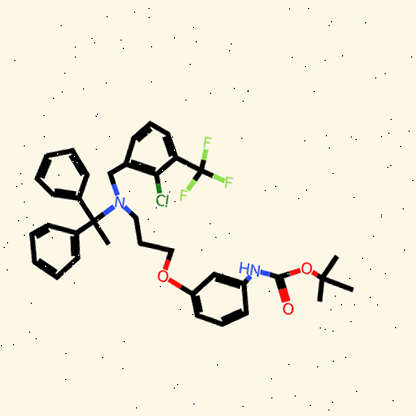 CC(C)(C)OC(=O)Nc1cccc(OCCCN(Cc2cccc(C(F)(F)F)c2Cl)C(C)(c2ccccc2)c2ccccc2)c1